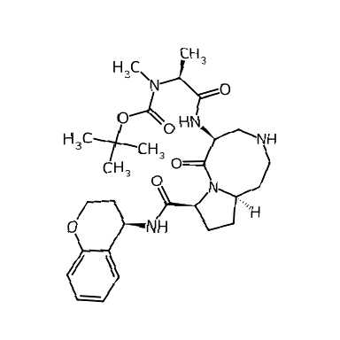 C[C@@H](C(=O)N[C@H]1CNCC[C@H]2CC[C@@H](C(=O)N[C@@H]3CCOc4ccccc43)N2C1=O)N(C)C(=O)OC(C)(C)C